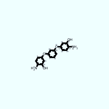 Nc1ccc(Oc2cccc(Oc3ccc(N)c(O)c3)c2)cc1O